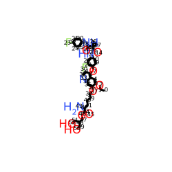 CCOc1cc2c(Oc3ccc(NC(=O)C4(C(=O)Nc5ccc(F)cc5)CC4)cc3F)ccnc2cc1OCCCCC(N)C(=O)OCC(CO)CO